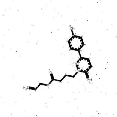 C=CCOC(=O)CCCn1nc(-c2ccc(O)cc2)ccc1=N